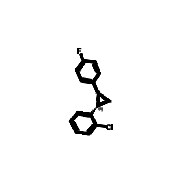 Fc1ccc([C]2C[C@@H]2c2ccccc2Cl)cc1